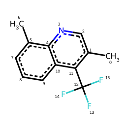 Cc1cnc2c(C)cccc2c1C(F)(F)F